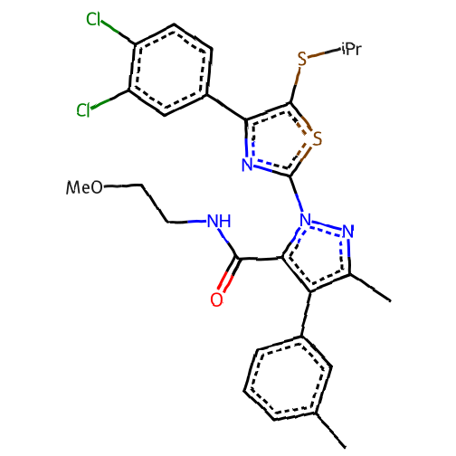 COCCNC(=O)c1c(-c2cccc(C)c2)c(C)nn1-c1nc(-c2ccc(Cl)c(Cl)c2)c(SC(C)C)s1